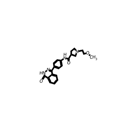 COCCN1CCC(C(=O)Nc2ccc(-c3n[nH]c(=O)c4ccccc34)cc2)C1